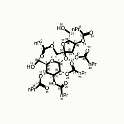 CCCC(=O)OC[C@@]1(O[C@H]2O[C@H](CO)[C@@H](OC(=O)CCC)[C@H](OC(=O)CCC)[C@H]2OC(=O)CCC)O[C@H](CO)[C@@H](OC(=O)CCC)[C@@H]1OC(=O)CCC